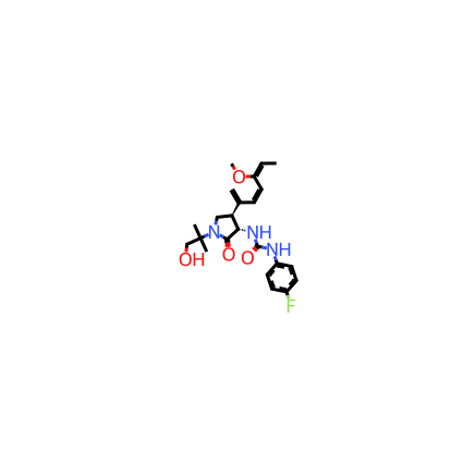 C=C(/C=C\C(=C/C)OC)[C@@H]1CN(C(C)(C)CO)C(=O)[C@H]1NC(=O)Nc1ccc(F)cc1